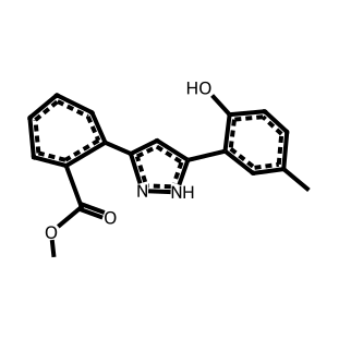 COC(=O)c1ccccc1-c1cc(-c2cc(C)ccc2O)[nH]n1